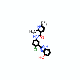 Cc1nc(C(F)(F)F)ccc1C(=O)Nc1ccc(Cl)c(-c2nc3c(O)cccc3[nH]2)c1